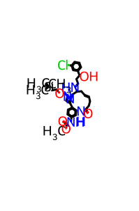 COC(=O)Nc1ccc2c(c1)NC(=O)CC/C=C/C[C@H](NCCC(O)c1cccc(Cl)c1)c1nc-2cn1COCC[Si](C)(C)C